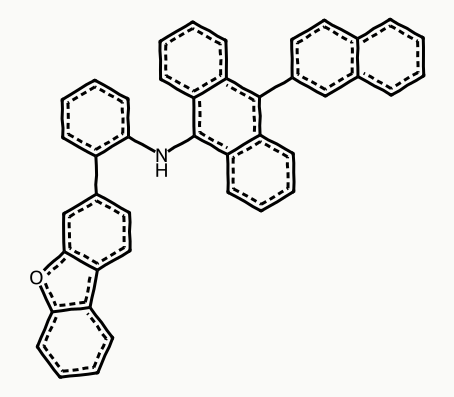 c1ccc(-c2ccc3c(c2)oc2ccccc23)c(Nc2c3ccccc3c(-c3ccc4ccccc4c3)c3ccccc23)c1